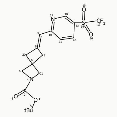 CC(C)(C)OC(=O)N1CC2(CC(=Cc3ccc(S(=O)(=O)C(F)(F)F)cn3)C2)C1